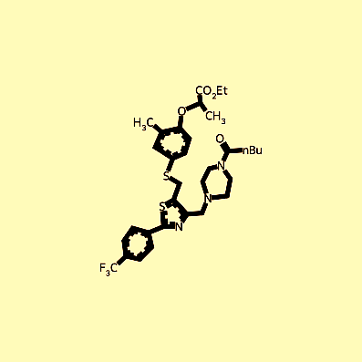 CCCCC(=O)N1CCN(Cc2nc(-c3ccc(C(F)(F)F)cc3)sc2CSc2ccc(OC(C)C(=O)OCC)c(C)c2)CC1